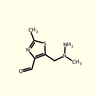 Cc1nc(C=O)c(CN(C)N)s1